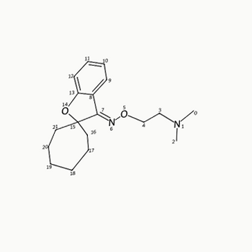 CN(C)CCO/N=C1\c2ccccc2OC12CCCCCC2